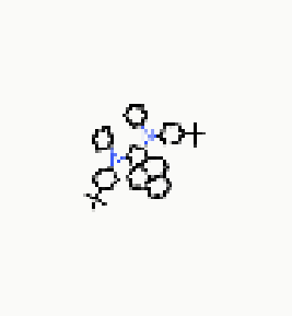 CC(C)(C)c1ccc(N(c2ccccc2)c2cc(N(c3ccccc3)c3ccc(C(C)(C)C)cc3)c3ccc4cccc5ccc2c3c54)cc1